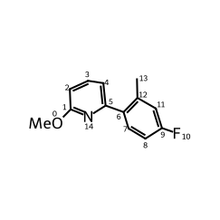 COc1cccc(-c2ccc(F)cc2C)n1